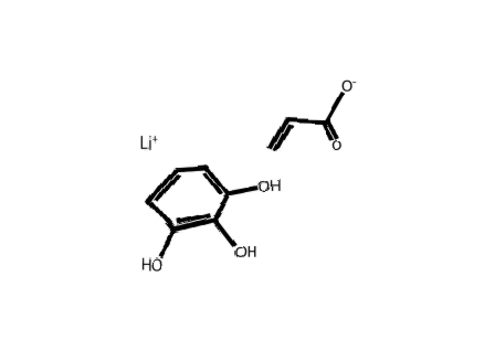 C=CC(=O)[O-].Oc1cccc(O)c1O.[Li+]